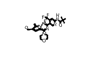 Cc1c(C=O)cc2c(N3CCOCC3)nc(-c3cnc(NC(=O)C(C)(C)C)cc3C(F)(F)F)nn12